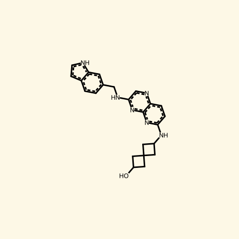 OC1CC2(C1)CC(Nc1ccc3ncc(NCc4ccc5cc[nH]c5c4)nc3n1)C2